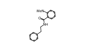 CNc1ccccc1C(=O)NCCc1ccccc1